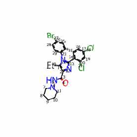 CCc1c(C(=O)NN2CCCCC2)nc(-c2ccc(Cl)cc2Cl)n1-c1ccc(Br)cc1